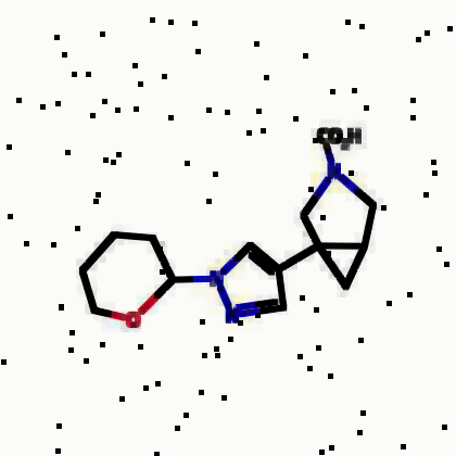 O=C(O)N1CC2CC2(c2cnn(C3CCCCO3)c2)C1